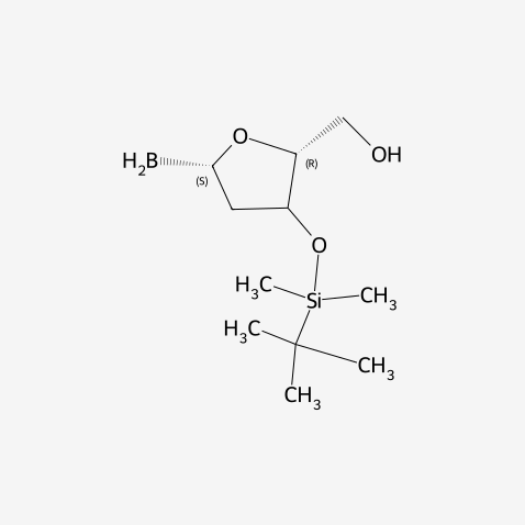 B[C@H]1CC(O[Si](C)(C)C(C)(C)C)[C@@H](CO)O1